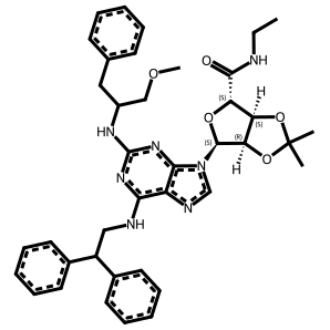 CCNC(=O)[C@H]1O[C@H](n2cnc3c(NCC(c4ccccc4)c4ccccc4)nc(NC(COC)Cc4ccccc4)nc32)[C@@H]2OC(C)(C)O[C@@H]21